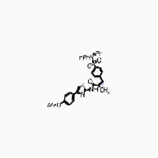 CCCN(CCC)S(=O)(=O)c1ccc(/C=C(/C)C(=O)Nc2nc(-c3ccc(OC)cc3)cs2)cc1